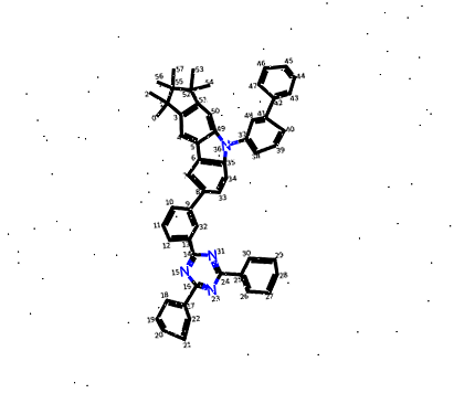 CC1(C)c2cc3c4cc(-c5cccc(-c6nc(-c7ccccc7)nc(-c7ccccc7)n6)c5)ccc4n(-c4cccc(-c5ccccc5)c4)c3cc2C(C)(C)C1(C)C